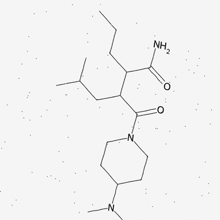 CCCC(C(N)=O)C(CC(C)C)C(=O)N1CCC(N(C)C)CC1